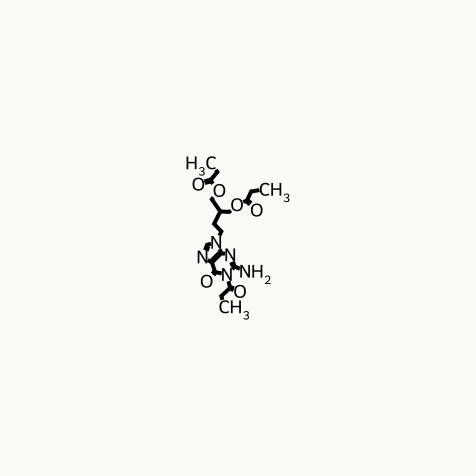 CCC(=O)OCC(CCn1cnc2c(=O)n(C(=O)CC)c(N)nc21)COC(=O)CC